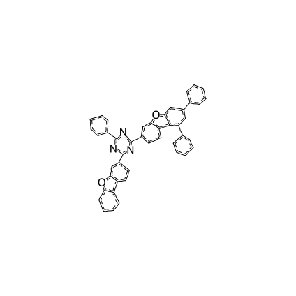 c1ccc(-c2cc(-c3ccccc3)c3c(c2)oc2cc(-c4nc(-c5ccccc5)nc(-c5ccc6c(c5)oc5ccccc56)n4)ccc23)cc1